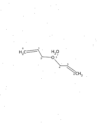 C=CCOCC=C.O